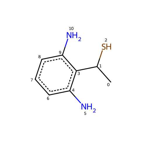 CC(S)c1c(N)cccc1N